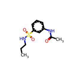 CCCNS(=O)(=O)c1cccc(NC(C)=O)c1